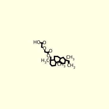 C=C[C@@]1(C)CC=C2C(CCC3[C@](C)(COC(=O)COCC(=O)O)CCC[C@@]23C)C1